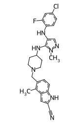 Cc1c(CN2CCC(Nc3c(Nc4ccc(Cl)cc4F)cnn3C)CC2)ccc2[nH]c(C#N)cc12